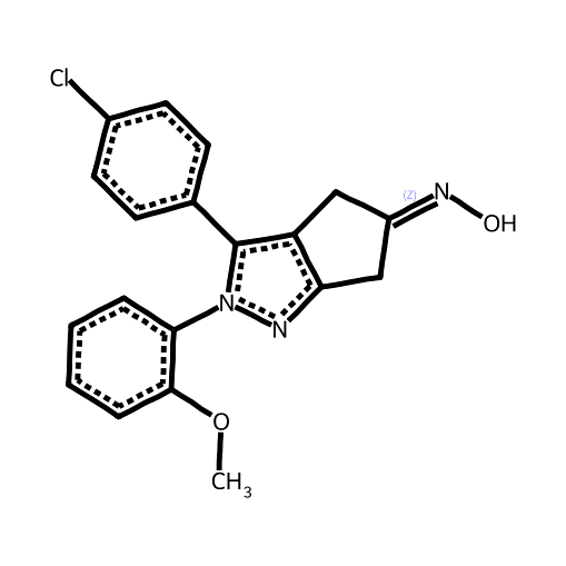 COc1ccccc1-n1nc2c(c1-c1ccc(Cl)cc1)C/C(=N/O)C2